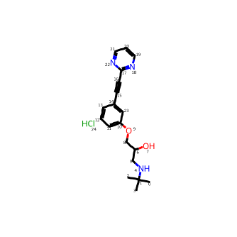 CC(C)(C)NCC(O)COc1cccc(C#Cc2ncccn2)c1.Cl